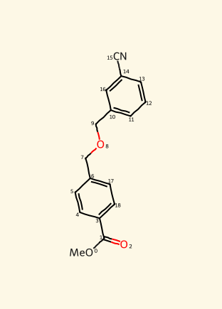 COC(=O)c1ccc(COCc2cccc(C#N)c2)cc1